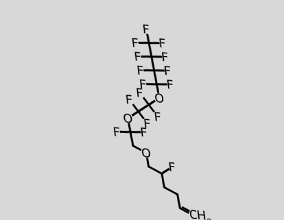 C=CCCC(F)COCC(F)(F)OC(F)(F)C(F)(F)OC(F)(F)C(F)(F)C(F)(F)C(F)(F)F